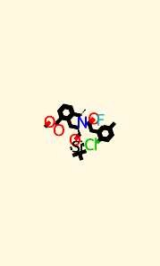 COC(=O)c1cccc2c1C[C@H](CO[Si](C)(C)C(C)(C)C)N(C(=O)Cc1c(Cl)ccc(C)c1F)[C@H]2C